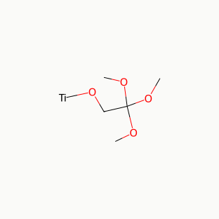 COC(C[O][Ti])(OC)OC